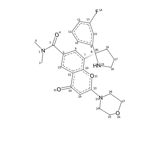 CN(C)C(=O)c1cc([C@]2(c3cccc(F)c3)CCCN2)c2oc(N3CCOCC3)cc(=O)c2c1